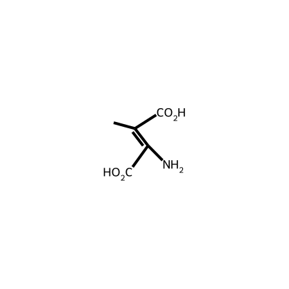 CC(C(=O)O)=C(N)C(=O)O